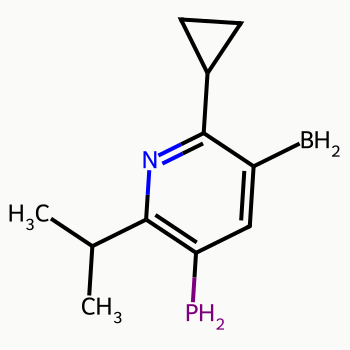 Bc1cc(P)c(C(C)C)nc1C1CC1